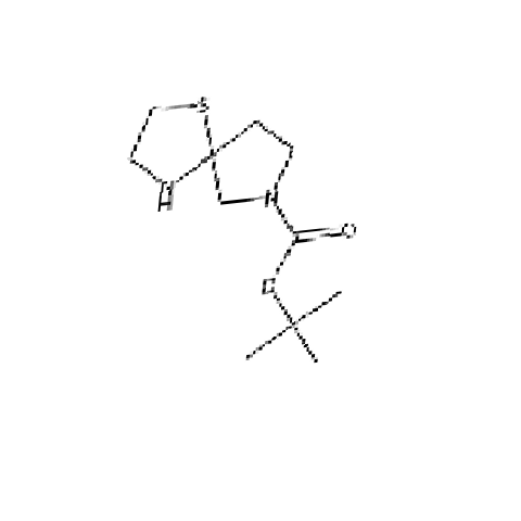 CC(C)(C)OC(=O)N1CCC2(C1)NCCS2